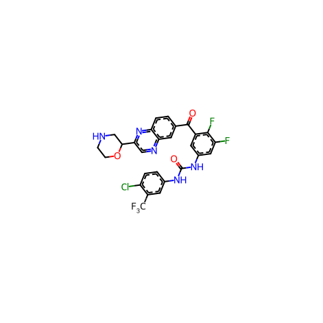 O=C(Nc1cc(F)c(F)c(C(=O)c2ccc3nc(C4CNCCO4)cnc3c2)c1)Nc1ccc(Cl)c(C(F)(F)F)c1